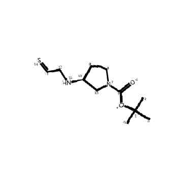 CC(C)(C)OC(=O)N1CC[C@H](NCC=S)C1